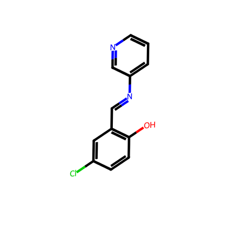 Oc1ccc(Cl)cc1C=Nc1cccnc1